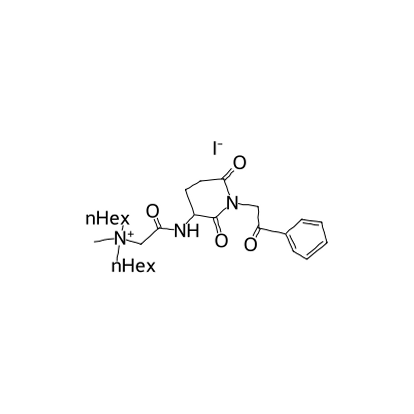 CCCCCC[N+](C)(CCCCCC)CC(=O)NC1CCC(=O)N(CC(=O)c2ccccc2)C1=O.[I-]